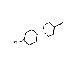 CC(C)N1CCN([C@H]2CC[C@H](C)CC2)CC1